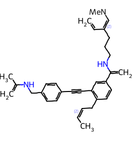 C=C/C(=C\NC)CCCNC(=C)c1ccc(C/C=C\C)c(C#Cc2ccc(CNC(=C)C)cc2)c1